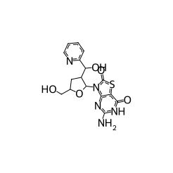 Nc1nc2c(sc(=O)n2C2OC(CO)CC2C(O)c2ccccn2)c(=O)[nH]1